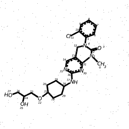 CN1C(=O)N(c2ccccc2Cl)Cc2cnc(NC3CCC(OCC(O)CO)CC3)nc21